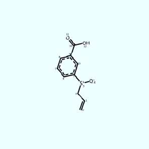 C=CC[S+]([O-])c1cccc(C(=O)O)c1